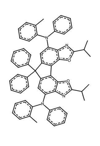 Cc1ccccc1N(c1ccccc1)c1cc2c(c3oc(C(C)C)nc13)-c1c(cc(N(c3ccccc3)c3ccccc3C)c3nc(C(C)C)oc13)C2(c1ccccc1)c1ccccc1